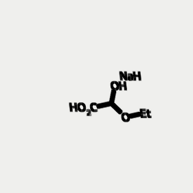 CCOC(O)C(=O)O.[NaH]